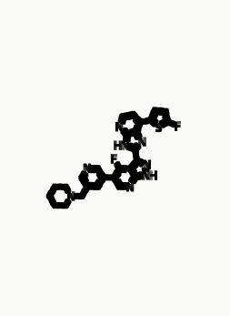 Fc1ccc(-c2ccnc3[nH]c(-c4n[nH]c5ncc(-c6cncc(CN7CCCCC7)c6)c(F)c45)nc23)s1